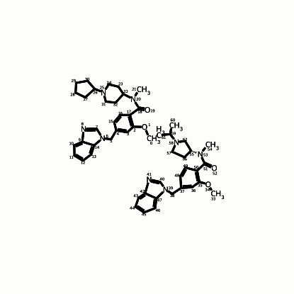 COc1cc(Cn2cnc3ccccc32)ccc1C(=O)N(C)C1CCN(C2CCCC2)CC1.COc1cc(Cn2cnc3ccccc32)ccc1C(=O)N(C)[C@@H]1CCN(C(C)C)C1